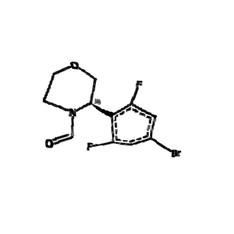 O=CN1CCOC[C@H]1c1c(F)cc(Br)cc1F